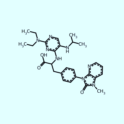 CCN(CC)c1ncc(NC(C)C)c(NC(Cc2ccc(-n3c(=O)n(C)c4cccnc43)cc2)C(=O)O)n1